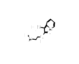 CCN(CC)CCNc1nn2ccccc2c1N